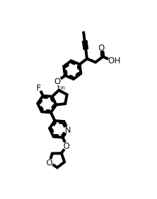 CC#CC(CC(=O)O)c1ccc(O[C@@H]2CCc3c(-c4ccc(OC5CCOC5)nc4)ccc(F)c32)cc1